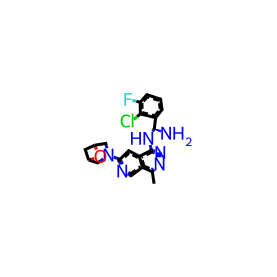 Cc1nnc(N[C@H](N)c2cccc(F)c2Cl)c2cc(N3CC4CC(C3)O4)ncc12